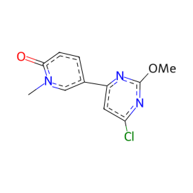 COc1nc(Cl)cc(-c2ccc(=O)n(C)c2)n1